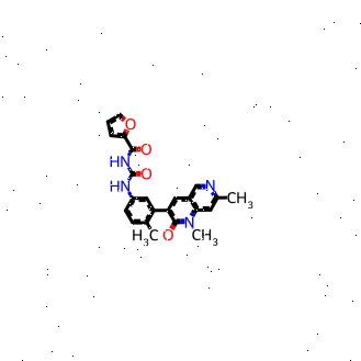 Cc1cc2c(cn1)cc(-c1cc(NC(=O)NC(=O)c3ccco3)ccc1C)c(=O)n2C